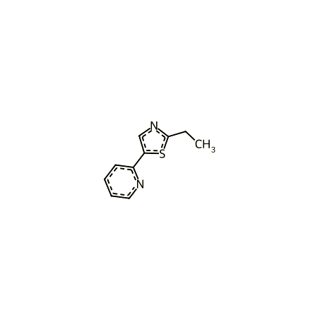 CCc1ncc(-c2ccccn2)s1